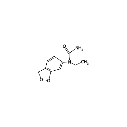 CCN(C(N)=O)c1ccc2c(c1)OOC2